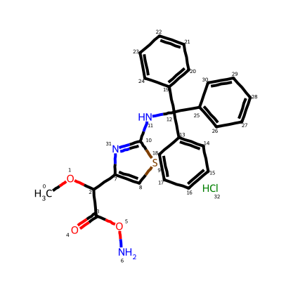 COC(C(=O)ON)c1csc(NC(c2ccccc2)(c2ccccc2)c2ccccc2)n1.Cl